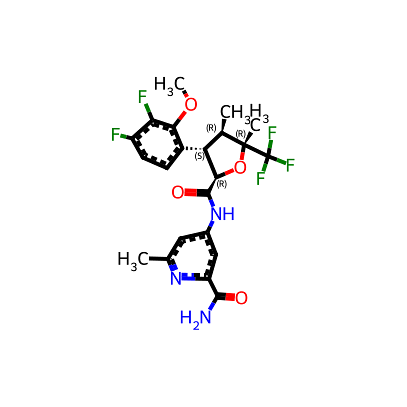 COc1c([C@@H]2[C@@H](C)[C@](C)(C(F)(F)F)O[C@H]2C(=O)Nc2cc(C)nc(C(N)=O)c2)ccc(F)c1F